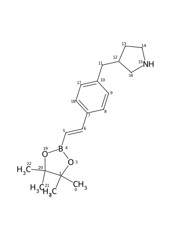 CC1(C)OB(C=Cc2ccc(CC3CCNC3)cc2)OC1(C)C